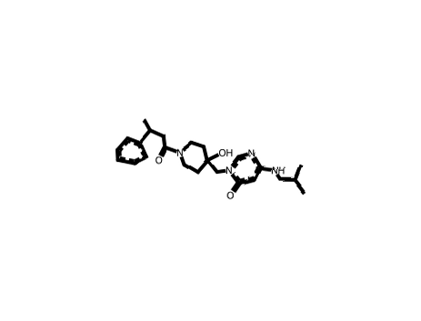 CC(C)CNc1cc(=O)n(CC2(O)CCN(C(=O)CC(C)c3ccccc3)CC2)cn1